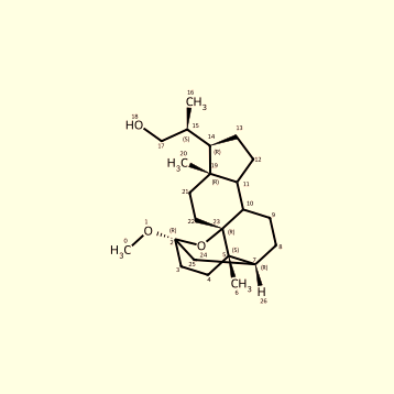 CO[C@]12CC[C@@]3(C)[C@H](CCC4C5CC[C@H]([C@H](C)CO)[C@@]5(C)CC[C@@]43O1)C2